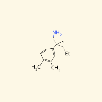 CC[C@H]1C[C@]1(CN)c1ccc(C)c(C)c1